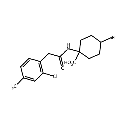 Cc1ccc(CC(=O)NC2(C(=O)O)CCC(C(C)C)CC2)c(Cl)c1